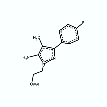 COCCn1nc(-c2ccc(F)cc2)c(C)c1N